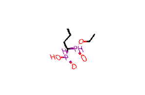 CCCC([PH](=O)O)[PH](=O)OCC